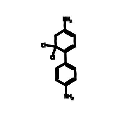 NC1=CC=C(c2ccc(N)cc2)C(Cl)(Cl)C1